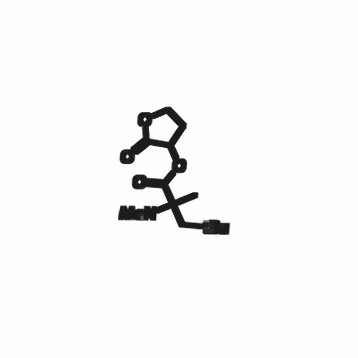 CNC(C)(CC(C)(C)C)C(=O)OC1CCOC1=O